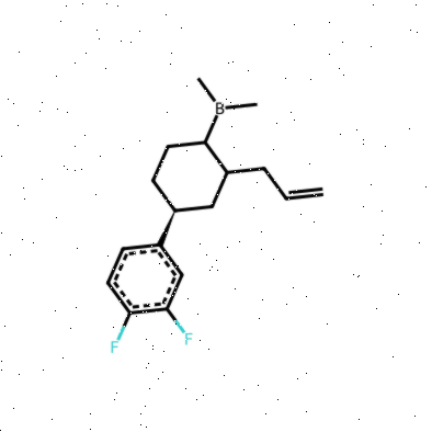 C=CCC1C[C@@H](c2ccc(F)c(F)c2)CCC1B(C)C